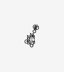 CN1CN(C(=O)N2Cc3cccc(F)c3C2)CC1c1nc(-c2ccc(B3OC(C)(C)C(C)(C)O3)cc2)c[nH]1